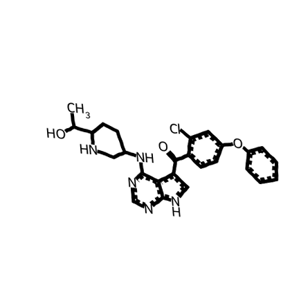 CC(O)C1CCC(Nc2ncnc3[nH]cc(C(=O)c4ccc(Oc5ccccc5)cc4Cl)c23)CN1